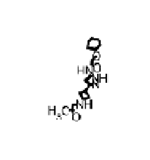 CC(=O)CNC1CC(c2cc(NC(=O)COC3CCCCC3)[nH]n2)C1